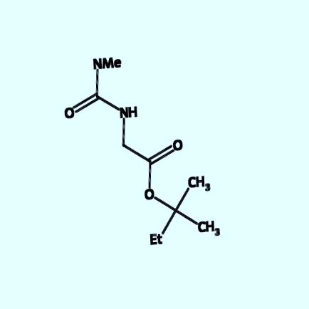 CCC(C)(C)OC(=O)CNC(=O)NC